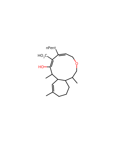 CCCCCC1=C/COCC(C)C2CCCC(C)=CC2C(C)/C(O)=C\1C(=O)O